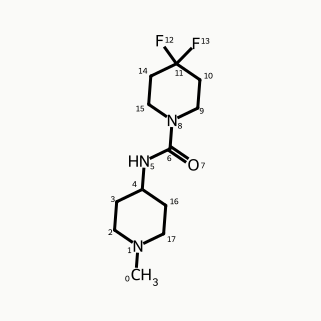 CN1CCC(NC(=O)N2CCC(F)(F)CC2)CC1